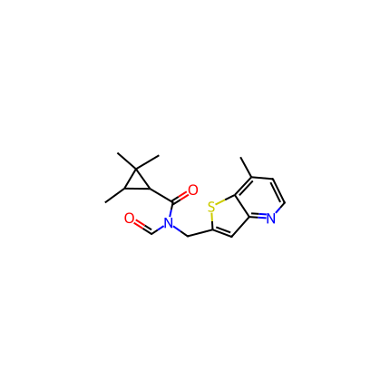 Cc1ccnc2cc(CN(C=O)C(=O)C3C(C)C3(C)C)sc12